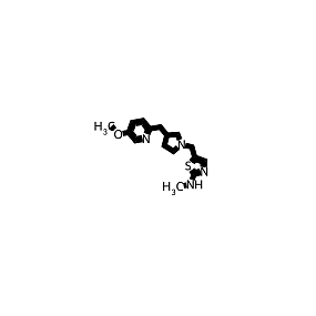 CNc1ncc(CN2CCC(Cc3ccc(OC)cn3)C2)s1